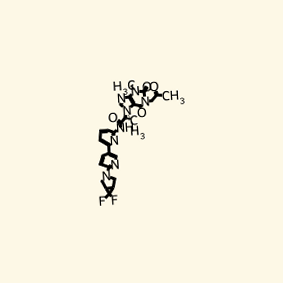 CC(=O)Cn1c(=O)c2c(ncn2[C@@H](C)C(=O)Nc2cccc(-c3ccc(N4CC5C(C4)C5(F)F)nc3)n2)n(C)c1=O